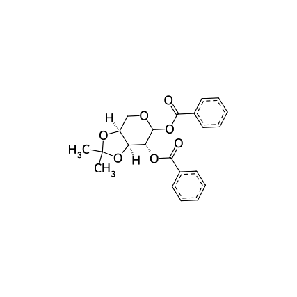 CC1(C)O[C@H]2[C@H](COC(OC(=O)c3ccccc3)[C@@H]2OC(=O)c2ccccc2)O1